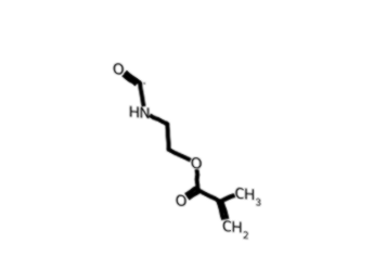 C=C(C)C(=O)OCCN[C]=O